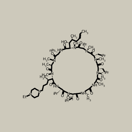 C/C=C/C[C@@H](C)[C@@H](O)[C@H]1C(=O)N[C@@H](CCC)C(=O)N(C)[C@H](C)C(=O)N(C)[C@@H]([C@H](C)CCCN2CCN(CC)CC2)C(=O)N[C@@H](C(C)C)C(=O)N(C)[C@@H](CC(C)C)C(=O)N[C@@H](C)C(=O)N[C@H](C)C(=O)N(C)[C@@H](CC(C)C)C(=O)N(C)[C@@H](CC(C)C)C(=O)N(C)[C@@H](C(C)C)C(=O)N1C